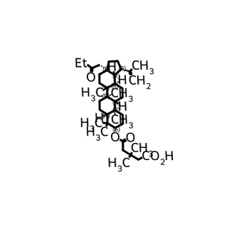 C=C(C)[C@@H]1CC[C@]2(CC(=O)CC)CC[C@]3(C)[C@H](CC[C@@H]4[C@@]5(C)CC[C@H](OC(=O)CC(C)(C)CC(=O)O)C(C)(C)[C@@H]5CC[C@]43C)[C@@H]12